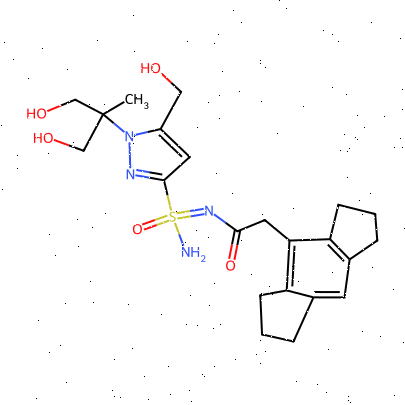 CC(CO)(CO)n1nc(S(N)(=O)=NC(=O)Cc2c3c(cc4c2CCC4)CCC3)cc1CO